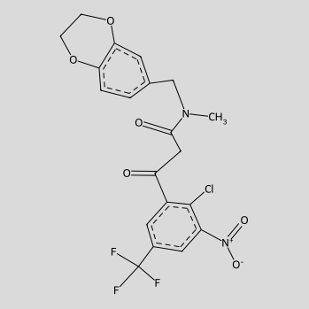 CN(Cc1ccc2c(c1)OCCO2)C(=O)CC(=O)c1cc(C(F)(F)F)cc([N+](=O)[O-])c1Cl